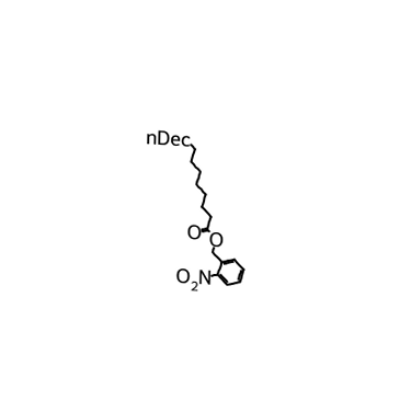 CCCCCCCCCCCCCCCCCC(=O)OCc1ccccc1[N+](=O)[O-]